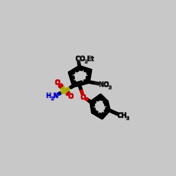 CCOC(=O)c1cc([N+](=O)[O-])c(Oc2ccc(C)cc2)c(S(N)(=O)=O)c1